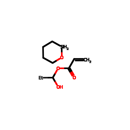 C1CC[SiH2]OC1.C=CC(=O)OC(O)CC